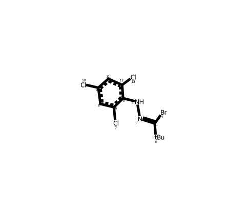 CC(C)(C)C(Br)=NNc1c(Cl)cc(Cl)cc1Cl